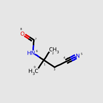 CC(C)(CC#N)NC=O